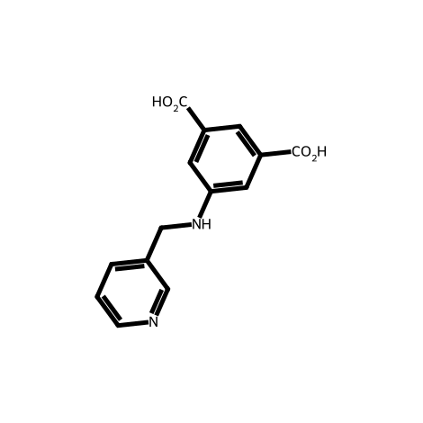 O=C(O)c1cc(NCc2cccnc2)cc(C(=O)O)c1